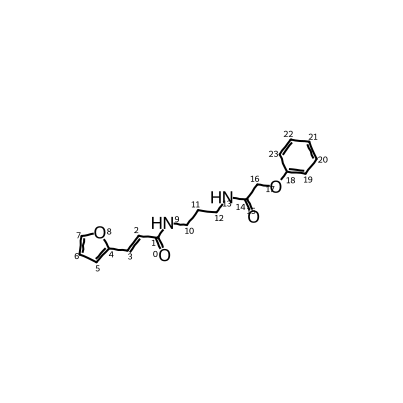 O=C(/C=C/c1ccco1)NCCCNC(=O)COc1ccccc1